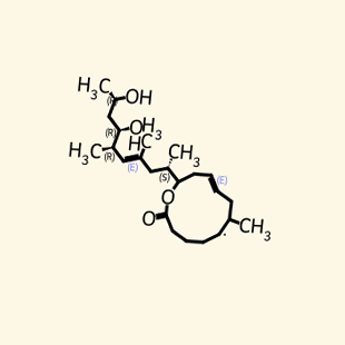 C/C(=C\[C@@H](C)[C@H](O)C[C@@H](C)O)C[C@H](C)C1C/C=C/CC(C)[CH]CCCC(=O)O1